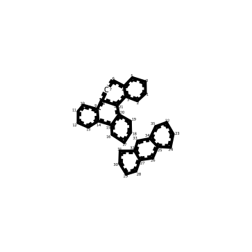 c1ccc2c(c1)ccc1c3ccccc3c3ccccc3c21.c1ccc2cc3ccccc3cc2c1